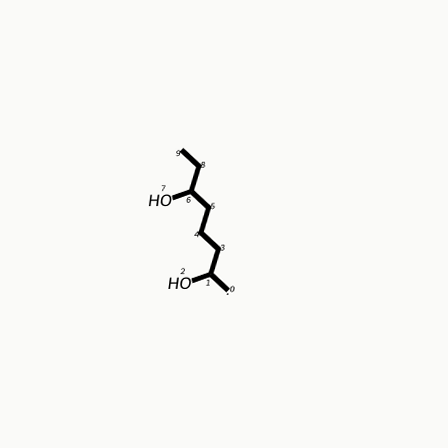 [CH2]C(O)CCCC(O)CC